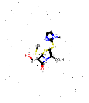 CCS[C@]12SC(Sc3nccn3C)=C(C(=O)O)N1C(=O)[C@@H]2CO